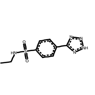 CCNS(=O)(=O)c1ccc(-c2nn[nH]n2)cc1